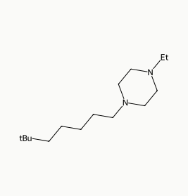 CCN1CCN(CCCCCC(C)(C)C)CC1